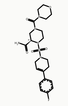 NC(=O)[C@H]1CN(C(=O)N2CCOCC2)CCN1S(=O)(=O)N1CC=C(c2ccc(F)cc2)CC1